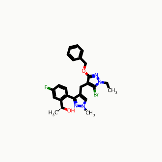 CCn1nc(OCc2ccccc2)c(Cc2cn(C)nc2-c2ccc(F)cc2[C@@H](C)O)c1Br